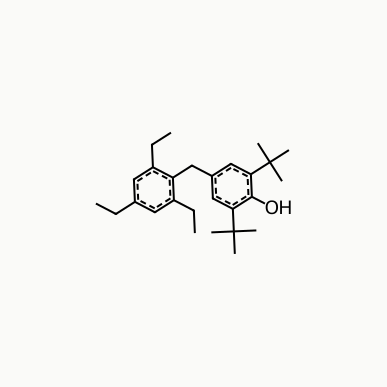 CCc1cc(CC)c(Cc2cc(C(C)(C)C)c(O)c(C(C)(C)C)c2)c(CC)c1